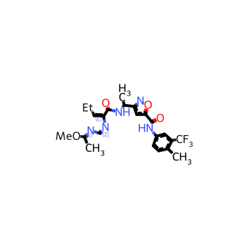 CC/C=C(/N=C\N=C(/C)OC)C(=O)NC(C)c1cc(C(=O)Nc2ccc(C)c(C(F)(F)F)c2)on1